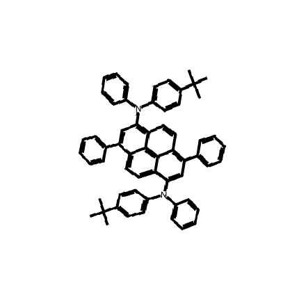 CC(C)(C)c1ccc(N(c2ccccc2)c2cc(-c3ccccc3)c3ccc4c(N(c5ccccc5)c5ccc(C(C)(C)C)cc5)cc(-c5ccccc5)c5ccc2c3c54)cc1